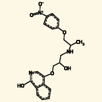 CC(COc1ccc([N+](=O)[O-])cc1)NCC(O)COc1cnc(O)c2ccccc12